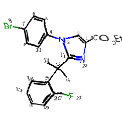 CCOC(=O)c1cn(-c2ccc(Br)cc2)c(C(C)(C)c2ccccc2F)n1